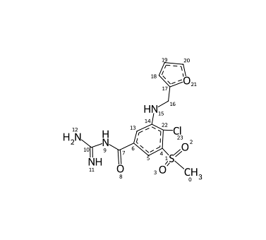 CS(=O)(=O)c1cc(C(=O)NC(=N)N)cc(NCc2ccco2)c1Cl